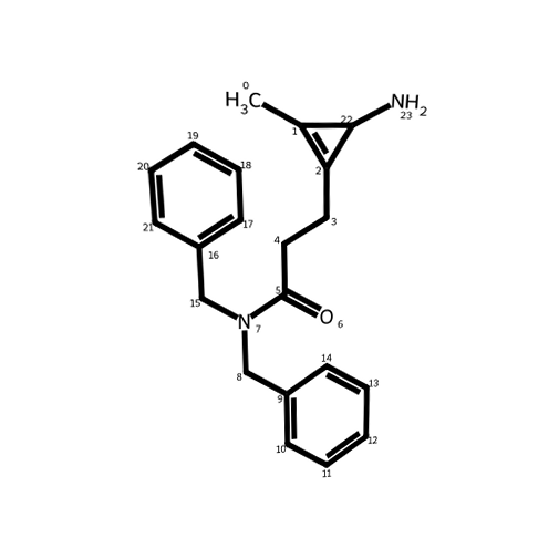 CC1=C(CCC(=O)N(Cc2ccccc2)Cc2ccccc2)C1N